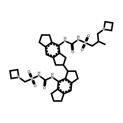 CC(CN1CCC1)CS(=O)(=O)NC(=O)Nc1c2c(cc3c1CC(C1CCc4cc5c(c(NC(=O)NS(=O)(=O)CN6CCC6)c41)CCC5)C3)CCC2